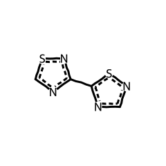 c1nsc(-c2ncsn2)n1